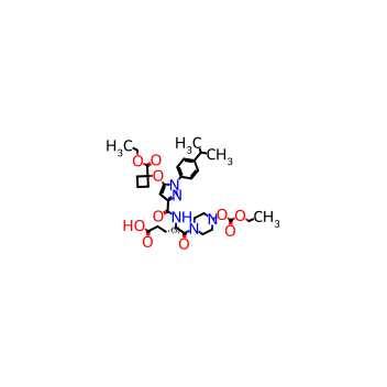 CCOC(=O)ON1CCN(C(=O)[C@H](CCC(=O)O)NC(=O)c2cc(OC3(C(=O)OCC)CCC3)n(-c3ccc(C(C)C)cc3)n2)CC1